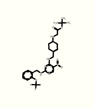 CC(C)(C)OC(=O)CNC1CCC(CNc2nc(NCc3ccccc3OC(F)(F)F)ncc2[N+](=O)[O-])CC1